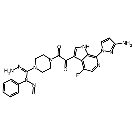 C=NN(/C(=N\N)N1CCN(C(=O)C(=O)c2c[nH]c3c(-n4ccc(N)n4)ncc(F)c23)CC1)c1ccccc1